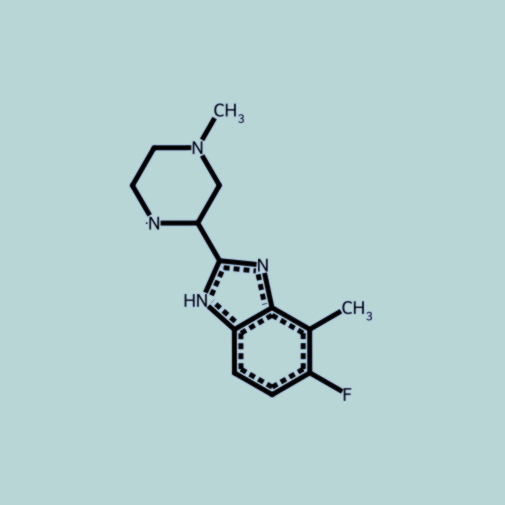 Cc1c(F)ccc2[nH]c(C3CN(C)CC[N]3)nc12